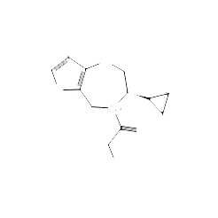 O=C(CBr)N1Cc2sccc2OC[C@H]1C1CC1